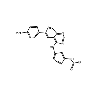 CCC(=O)Nc1cccc(Nc2ncnc3ccc(-c4ccc(OC)nc4)cc23)c1